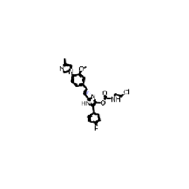 COc1cc(/C=C/c2nc(OC(=O)NCCCl)c(-c3ccc(F)cc3)[nH]2)ccc1-n1cnc(C)c1